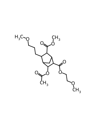 COCCCC1C2CC(C1C(=O)OC)C(C(=O)OCCOC)C2OC(C)=O